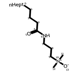 CCCCCCCCCCC(=O)NCCC[N+](C)(C)[O-]